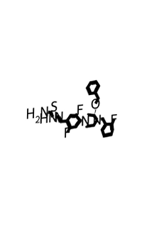 NC(=S)NN=Cc1cc(F)c(N2CCN(Cc3ccccc3F)[C@@H](COCc3ccccc3)C2)cc1F